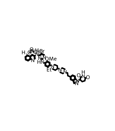 CCc1cc(Nc2ncc(Br)c(Nc3cnc4ccccc4c3P(C)(C)=O)n2)c(OC)cc1N1CCC(N2CCN(CCc3ccc4c(cnn4C4CCC(=O)NC4=O)c3)CC2)CC1